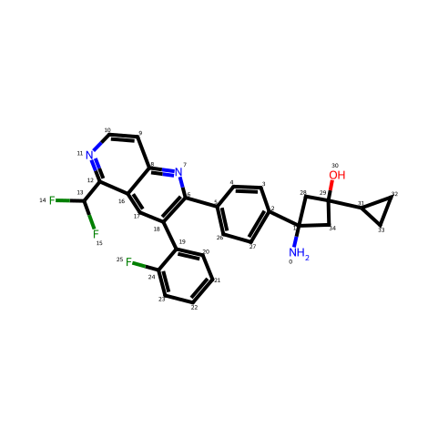 NC1(c2ccc(-c3nc4ccnc(C(F)F)c4cc3-c3ccccc3F)cc2)CC(O)(C2CC2)C1